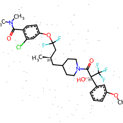 COc1cccc([C@@](O)(C(=O)N2CCC(C[C@@H](C)CC(F)(F)Oc3ccc(C(=O)N(C)C)c(Cl)c3)CC2)C(F)(F)F)c1